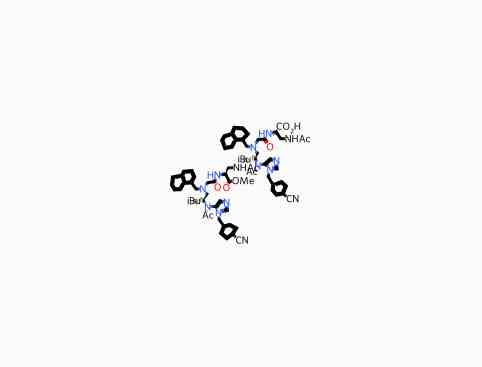 CC[C@H](C)[C@@H](CN(CC(=O)N[C@@H](CNC(C)=O)C(=O)O)Cc1cccc2ccccc12)N(C(C)=O)c1cncn1Cc1ccc(C#N)cc1.CC[C@H](C)[C@@H](CN(CC(=O)N[C@@H](CNC(C)=O)C(=O)OC)Cc1cccc2ccccc12)N(C(C)=O)c1cncn1Cc1ccc(C#N)cc1